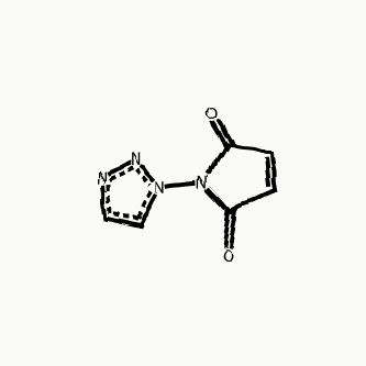 O=C1C=CC(=O)N1n1ccnn1